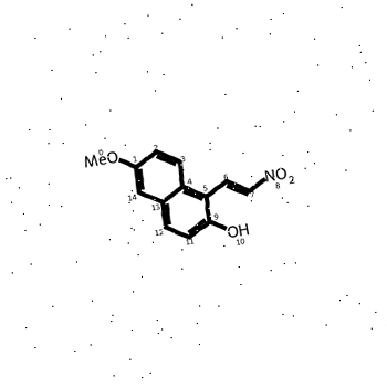 COc1ccc2c(/C=C/[N+](=O)[O-])c(O)ccc2c1